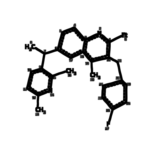 CCc1nc2ccc(C(C)c3ccc(C)nc3C)cc2c(C)c1Cc1ccc(F)cc1